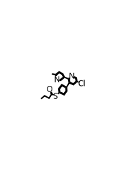 CCCC(=O)Sc1ccc(-c2cc(Cl)cnc2-c2ccc(C)nc2)cc1